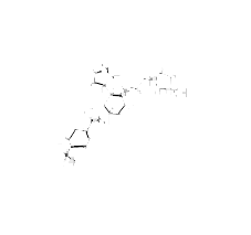 Cn1nccc1-c1cc(NC(=O)c2ccc(C(F)(F)F)cc2)ccc1OCCN1CCC(O)C1